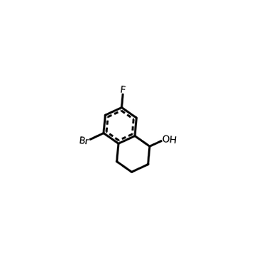 OC1CCCc2c(Br)cc(F)cc21